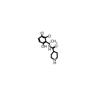 C[C@H](NC(=O)C1CCNCC1)c1c(O)ccc(Cl)c1Cl